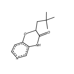 CC(C)(C)CC1Oc2ccncc2NC1=O